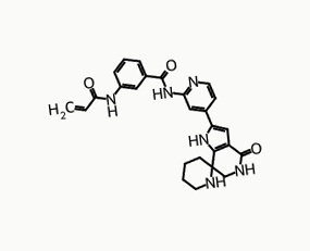 C=CC(=O)Nc1cccc(C(=O)Nc2cc(-c3cc4c([nH]3)C3(CCCCN3)CNC4=O)ccn2)c1